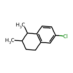 CC1CCc2cc(Cl)ccc2C1C